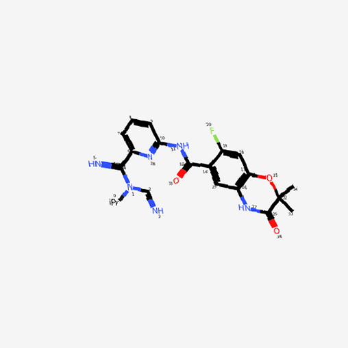 CC(C)N(C=N)C(=N)c1cccc(NC(=O)c2cc3c(cc2F)OC(C)(C)C(=O)N3)n1